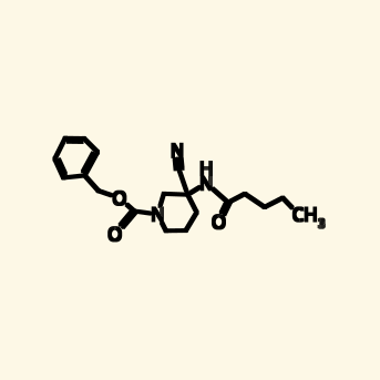 CCCCC(=O)NC1(C#N)CCCN(C(=O)OCc2ccccc2)C1